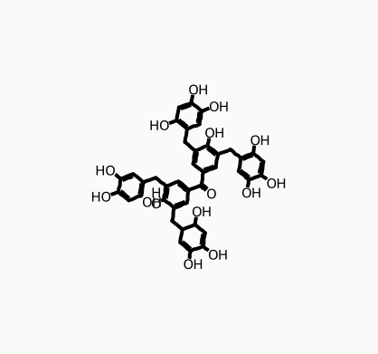 O=C(c1cc(Cc2cc(O)c(O)cc2O)c(O)c(Cc2cc(O)c(O)cc2O)c1)c1cc(Cc2cc(O)c(O)cc2O)c(O)c(CC2C=C(O)C(O)=CC2O)c1